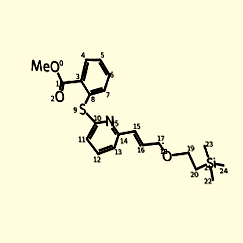 COC(=O)c1ccccc1Sc1cccc(C=C[CH]OCC[Si](C)(C)C)n1